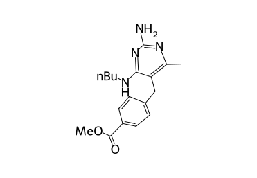 CCCCNc1nc(N)nc(C)c1Cc1ccc(C(=O)OC)cc1